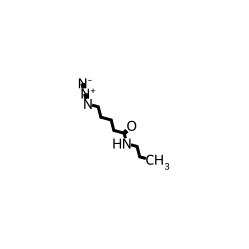 CCCNC(=O)CCCCN=[N+]=[N-]